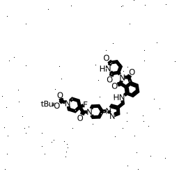 CC(C)(C)OC(=O)N1CCC(F)(C(=O)N2CCC(n3cc(CNc4cccc5c4C(=O)N(C4CCC(=O)NC4=O)C5=O)cn3)CC2)CC1